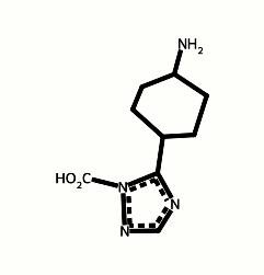 NC1CCC(c2ncnn2C(=O)O)CC1